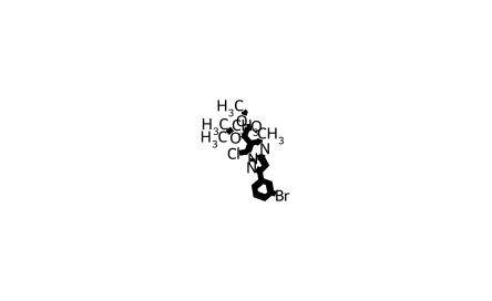 CCOC(=O)[C@@H](OC(C)(C)C)c1c(C)nc2cc(-c3cccc(Br)c3)nn2c1Cl